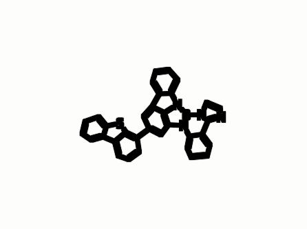 c1ccc2c(c1)-c1nccn1B1N2c2cc(-c3cccc4c3sc3ccccc34)cc3c4ccccc4n1c23